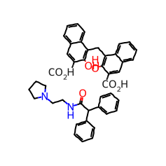 O=C(NCCN1CCCC1)C(c1ccccc1)c1ccccc1.O=C(O)c1cc2ccccc2c(Cc2c(O)c(C(=O)O)cc3ccccc23)c1O